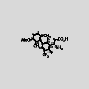 COc1ccc(C)c(-c2cc(C(F)(F)F)c(F)c([C@@H](N)CC(=O)O)c2F)c1C